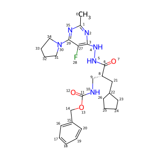 Cc1nc(NNC(=O)[C@@H](CNC(=O)OCc2ccccc2)CC2CCCC2)c(F)c(N2CCCC2)n1